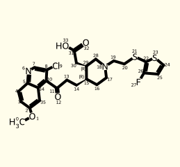 COc1ccc2ncc(Cl)c(C(=O)CC[C@@H]3CCN(CCSc4sccc4F)C[C@@H]3CC(=O)O)c2c1